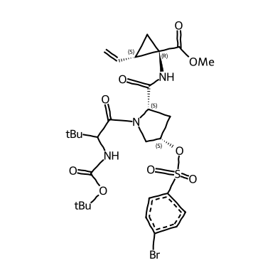 C=C[C@@H]1C[C@]1(NC(=O)[C@@H]1C[C@H](OS(=O)(=O)c2ccc(Br)cc2)CN1C(=O)C(NC(=O)OC(C)(C)C)C(C)(C)C)C(=O)OC